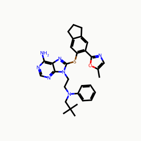 Cc1cnc(-c2cc3c(cc2Sc2nc4c(N)ncnc4n2CCN(CC(C)(C)C)c2ccccc2)CCC3)o1